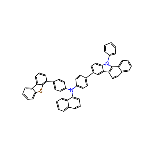 c1ccc(-n2c3ccc(-c4ccc(N(c5ccc(-c6cccc7c6sc6ccccc67)cc5)c5cccc6ccccc56)cc4)cc3c3ccc4ccccc4c32)cc1